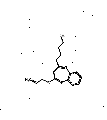 C=CCSC1=Nc2ccccc2N=C(CCCCC)C1